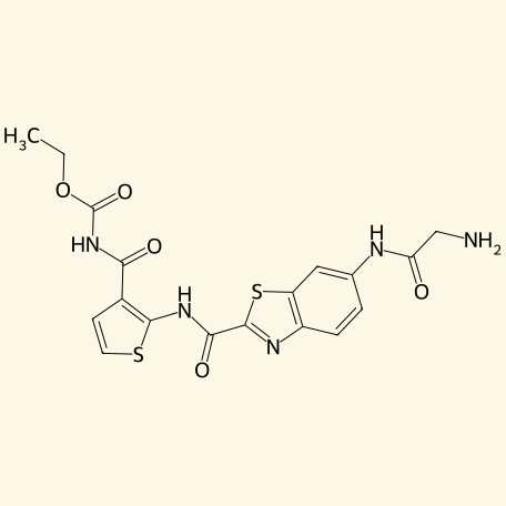 CCOC(=O)NC(=O)c1ccsc1NC(=O)c1nc2ccc(NC(=O)CN)cc2s1